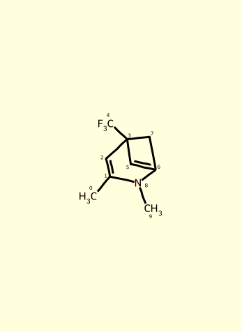 CC1=CC2(C(F)(F)F)C=C(C2)N1C